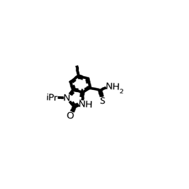 Cc1cc(C(N)=S)c2[nH]c(=O)n(C(C)C)c2c1